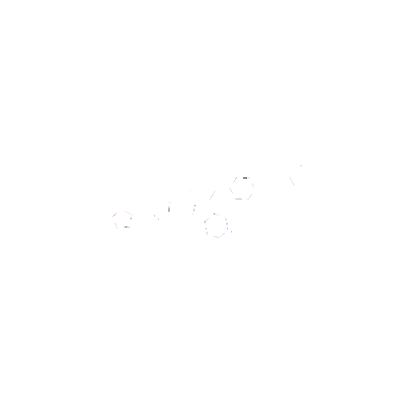 COc1cc2c(cn1)/C(=C\c1cc(OC)c(OCC(=O)O)c(OC)c1)C(C)=C2CC(=O)NCc1ccco1